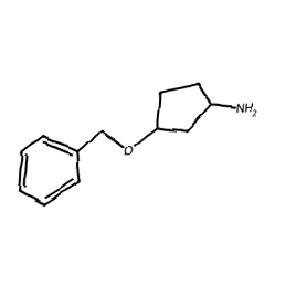 NC1CCC(OCc2ccccc2)C1